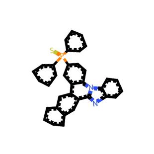 S=P(c1ccccc1)(c1ccccc1)c1ccc2c(c1)c1cc3ccccc3cc1c1nc3ccccc3n21